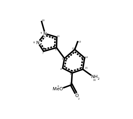 COC(=O)c1cc(-c2cnn(C)c2)c(C)cc1N